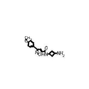 COc1ccc(-c2cc(C(=O)NC3CC(N)C3)on2)cc1